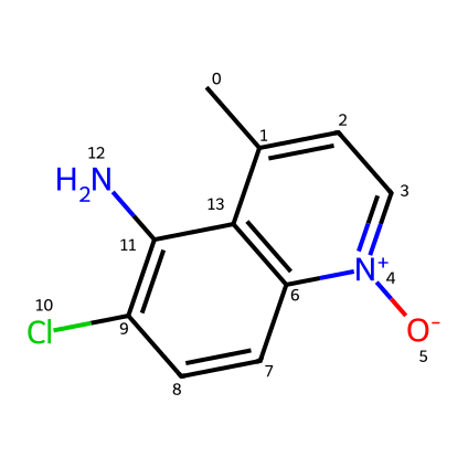 Cc1cc[n+]([O-])c2ccc(Cl)c(N)c12